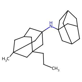 CCCC12CC3CC(C)(C1)CC(NC14CC5CC(CC(C5)C1)C4)(C3)C2